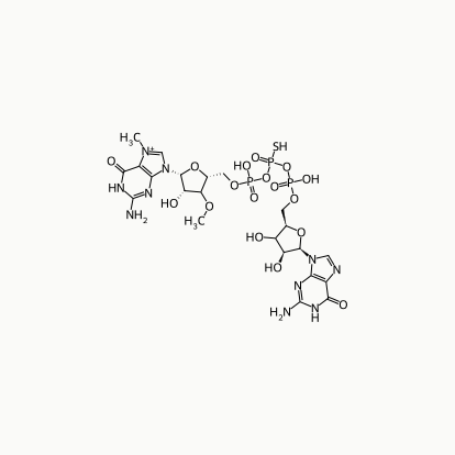 COC1[C@@H](COP(=O)(O)OP(=O)(S)OP(=O)(O)OC[C@H]2O[C@@H](n3cnc4c(=O)[nH]c(N)nc43)[C@@H](O)C2O)O[C@@H](n2c[n+](C)c3c(=O)[nH]c(N)nc32)[C@H]1O